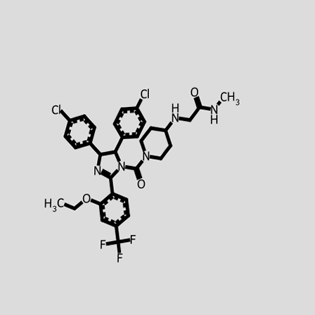 CCOc1cc(C(F)(F)F)ccc1C1=NC(c2ccc(Cl)cc2)C(c2ccc(Cl)cc2)N1C(=O)N1CCC(NCC(=O)NC)CC1